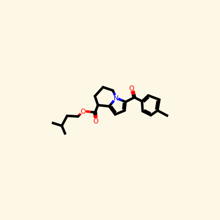 Cc1ccc(C(=O)c2ccc3n2CCCC3C(=O)OCCC(C)C)cc1